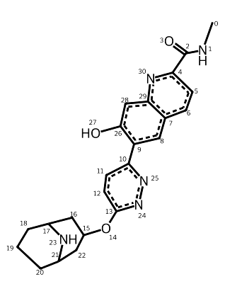 CNC(=O)c1ccc2cc(-c3ccc(OC4CC5CCCC(C4)N5)nn3)c(O)cc2n1